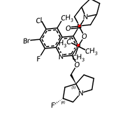 Cc1c(Cl)c(Br)c(F)c2nc(OC[C@@]34CCCN3C[C@H](F)C4)nc(N3CC4CCC(C3)N4C(=O)OC(C)(C)C)c12